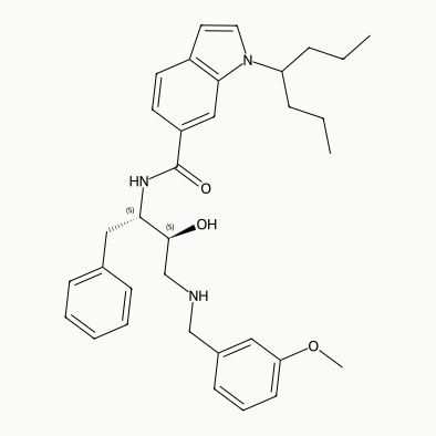 CCCC(CCC)n1ccc2ccc(C(=O)N[C@@H](Cc3ccccc3)[C@@H](O)CNCc3cccc(OC)c3)cc21